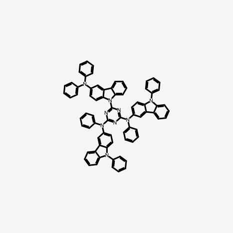 c1ccc(N(c2ccccc2)c2ccc3c(c2)c2ccccc2n3-c2nc(N(c3ccccc3)c3ccc4c(c3)c3ccccc3n4-c3ccccc3)nc(N(c3ccccc3)c3ccc4c(c3)c3ccccc3n4-c3ccccc3)n2)cc1